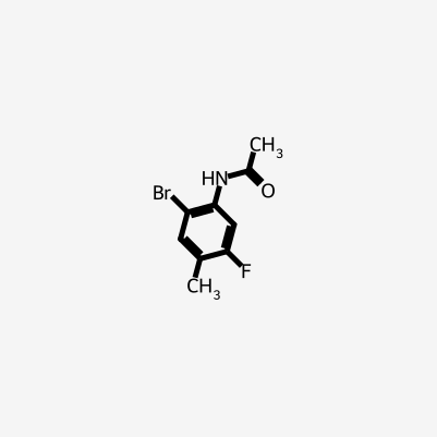 CC(=O)Nc1cc(F)c(C)cc1Br